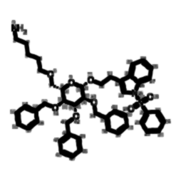 NCCCCCOC[C@@H]1O[C@H](OCCc2cn(S(=O)(=O)c3ccccc3)c3ccccc23)[C@@H](OCc2ccccc2)[C@H](OCc2ccccc2)[C@H]1OCc1ccccc1